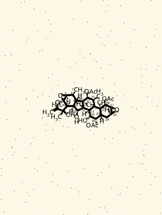 C=C1O[C@]23O[C@H]2[C@@H](C)[C@H]2[C@@H]([C@H](O)[C@H]4[C@H]5C([C@H](C)[C@H](OC(C)=O)[C@@]42C)[C@]2(C)[C@H](C[C@@H]4O[C@@H]4[C@@H]2OC(C)=O)[C@H](OC(C)=O)[C@@H]5O)[C@@]3(C)[C@]1(C)O